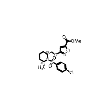 COC(=O)c1cc(OC[C@H]2CCC[C@@H](C)N2S(=O)(=O)c2ccc(Cl)cc2)no1